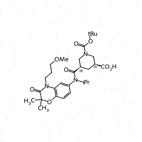 COCCCN1C(=O)C(C)(C)Oc2ccc(N(C(=O)[C@@H]3C[C@H](C(=O)O)CN(C(=O)OC(C)(C)C)C3)C(C)C)cc21